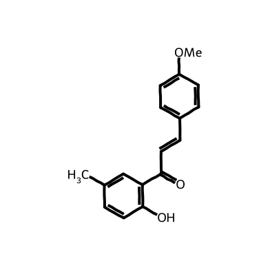 COc1ccc(/C=C/C(=O)c2cc(C)ccc2O)cc1